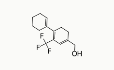 OCC1=CC(C(F)(F)F)=C(C2=CCCCC2)CC1